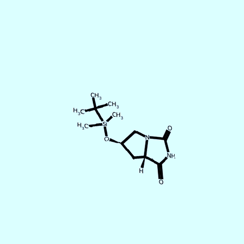 CC(C)(C)[Si](C)(C)O[C@@H]1C[C@H]2C(=O)NC(=O)N2C1